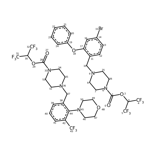 O=C(OC(C(F)(F)F)C(F)(F)F)N1CCN(Cc2ccc(Br)cc2Oc2ccccc2)CC1.O=C(OC(C(F)(F)F)C(F)(F)F)N1CCN(Cc2cccc(C(F)(F)F)c2N2CCOCC2)CC1